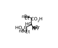 CCCCC(CC)CCCC(CCCCCCC(O)(CCCCCCC(CCCC(CC)CCCC)C(=O)O)CCCCN(CCC)CCC)C(=O)O